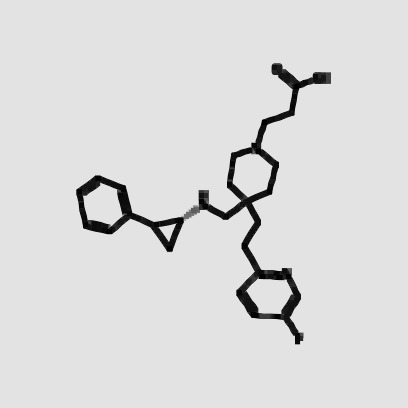 O=C(O)CCN1CCC(CCc2ccc(F)cn2)(CN[C@@H]2CC2c2ccccc2)CC1